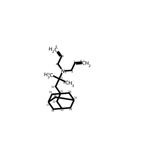 C=CCN(CC=C)C(C)(C)CC12CC3CC(CC(C3)C1)C2